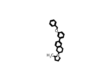 CC1CCCN1C1CCc2cc(-c3cccc(OCc4ccccc4)c3)ccc2C1